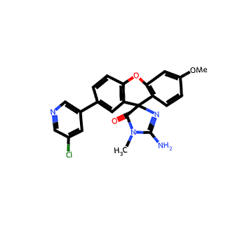 COc1ccc2c(c1)Oc1ccc(-c3cncc(Cl)c3)cc1C21N=C(N)N(C)C1=O